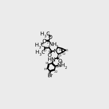 COC(=O)N[C@H](C(=O)N1CC2CC2[C@H]1C(=O)Nc1ccc(Br)cc1N)C(C)C